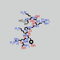 CC(C)C[C@H](NC(=O)[C@H](CCCCN)NC(=O)[C@H](CO)NC(=O)[C@H](CCCNC(=N)N)NC(=O)CNC(=O)[C@@H]1CCCN1C(=O)[C@H](CCCCN)NC(=O)[C@H](Cc1ccc(O)cc1)NC(=O)[C@H](CCCNC(=N)N)NC(=O)[C@@H](N)CO)C(=O)O